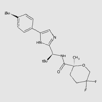 CC[C@H](C)c1ccc(-c2cnc([C@@H](NC(=O)[C@]3(C)CCC(F)(F)CO3)C(C)(C)C)[nH]2)cc1